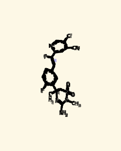 CN1C(N)=N[C@](C)(c2cc(/C=C(\F)c3cc(C#N)c(Cl)cn3)ccc2F)CS1(=O)=O